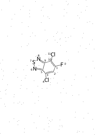 Fc1cc(Cl)c2nsnc2c1Cl